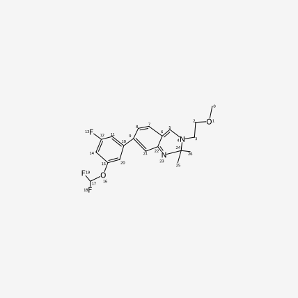 COCCN1C=c2ccc(-c3cc(F)cc(OC(F)F)c3)cc2=NC1(C)C